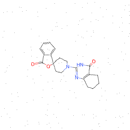 O=C1OC2(CCN(c3nc4c(c(=O)[nH]3)CCCC4)CC2)c2ccccc21